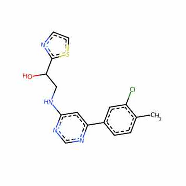 Cc1ccc(-c2cc(NCC(O)c3nccs3)ncn2)cc1Cl